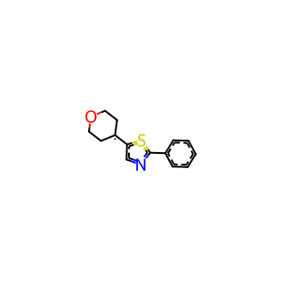 c1ccc(-c2ncc([C]3CCOCC3)s2)cc1